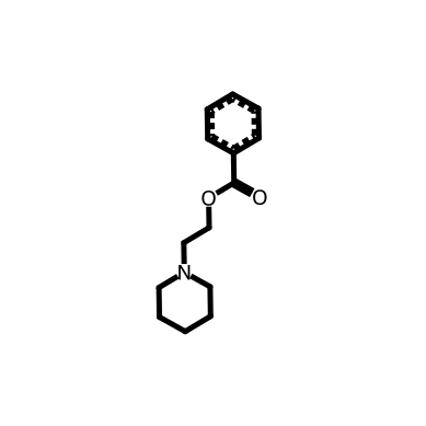 O=C(OCCN1CCCCC1)c1ccccc1